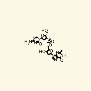 Cc1nc2c(ncn2[C@H]2C[C@@H](O)[C@@H](COP(C)(=O)O[C@@H]3C[C@H](n4cnc(N)nc4=O)O[C@@H]3CO)O2)c(=O)[nH]1